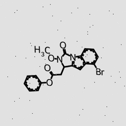 CON1C(=O)n2c(cc3c(Br)cccc32)C1CC(=O)Oc1ccccc1